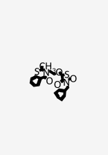 CC1Sc2ccccc2C(=O)N1CCOC1SC(=O)N(Cc2ccccc2)C1=O